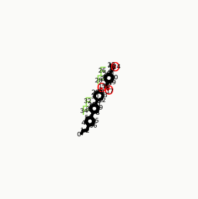 C/C=C/c1ccc(-c2ccc(C3CCC(OC(=O)c4ccc(C5CO5)c(F)c4F)CC3)c(F)c2F)cc1